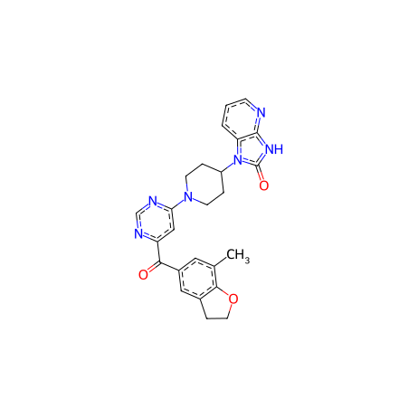 Cc1cc(C(=O)c2cc(N3CCC(n4c(=O)[nH]c5ncccc54)CC3)ncn2)cc2c1OCC2